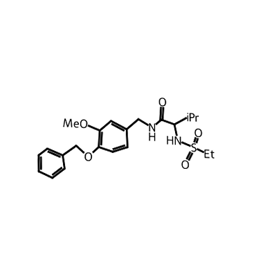 CCS(=O)(=O)NC(C(=O)NCc1ccc(OCc2ccccc2)c(OC)c1)C(C)C